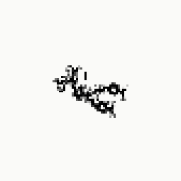 CC(=O)N[C@](C)(CCc1ccc(C(=CCCc2ccc(C(C)C)cc2)OC(=O)CCCc2ccc(C(C)C)cc2)n1C)COC(C)=O